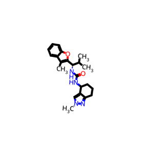 Cc1c([C@@H](NC(=O)NC2CCCc3nn(C)cc32)C(C)C)oc2ccccc12